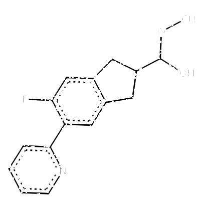 COC(O)C1Cc2cc(F)c(-c3ccccn3)cc2C1